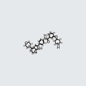 O=C(Nc1ccc(-c2cc3c(N4CCOCC4)ncnc3[nH]2)cc1)c1cc(OC2CCNCC2)ccn1